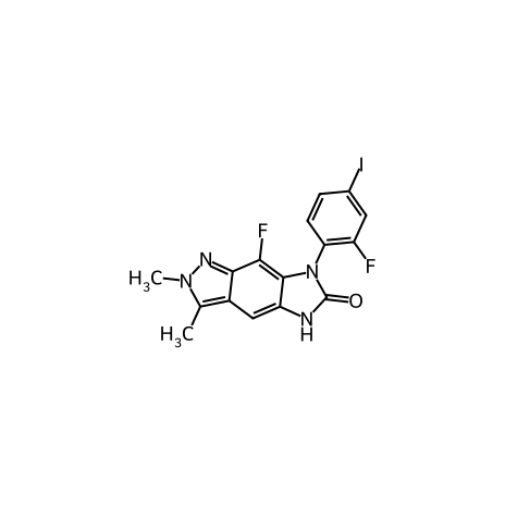 Cc1c2cc3[nH]c(=O)n(-c4ccc(I)cc4F)c3c(F)c2nn1C